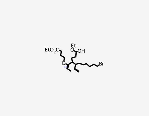 C=CC(CCCCCCBr)C(CCC(O)OCC)/C(=C\C)OCCCC(=O)OCC